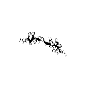 CCC(C)(COCCOCCOC(=O)CC(C)=O)C(=O)OC